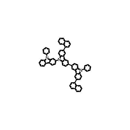 c1ccc(-n2c3ccc(-c4ccc5c(c4)c4cc(-c6cccc7ccccc67)ccc4n5-c4ccc5c6ccccc6n(-c6ccccc6)c5c4)cc3c3cc(-c4cccc5ccccc45)ccc32)cc1